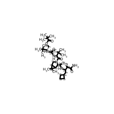 CC(C)(C)C(=O)OC[C@H](NC(=O)N[C@H](C(=O)N1CC2C([C@H]1C(=O)NC(CC1CCC1)C(=O)C(N)=O)C2(C)C)C(C)(C)C)C(C)(C)C